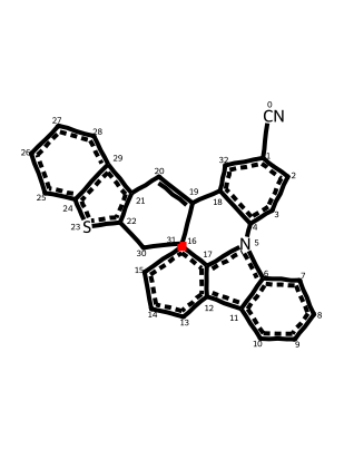 N#Cc1ccc(-n2c3ccccc3c3ccccc32)c(C2=Cc3c(sc4ccccc34)CC2)c1